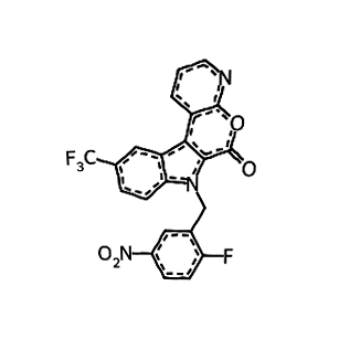 O=c1oc2ncccc2c2c3cc(C(F)(F)F)ccc3n(Cc3cc([N+](=O)[O-])ccc3F)c12